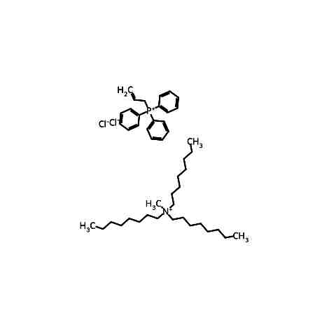 C=CC[P+](c1ccccc1)(c1ccccc1)c1ccccc1.CCCCCCCC[N+](C)(CCCCCCCC)CCCCCCCC.[Cl-].[Cl-]